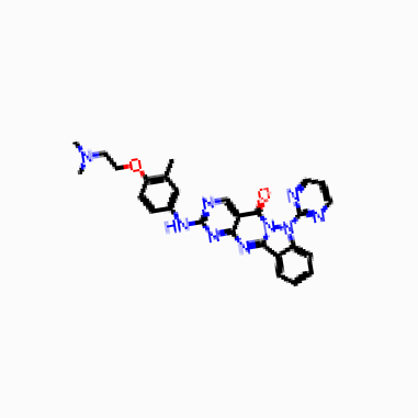 Cc1cc(Nc2ncc3c(=O)n4c(nc3n2)c2ccccc2n4-c2ncccn2)ccc1OCCN(C)C